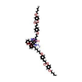 CCCCCOc1ccc(OC(=O)C=Cc2ccc(OCCCCCCc3ccccc3C(N)(CCCCCCOc3ccc(C=CC(=O)Oc4ccc(OCCCCC)cc4)cc3)C(C(=O)O)(C(=O)O)C(N)c3ccccc3)cc2)cc1